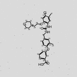 Cc1cc(NC(=O)NCc2ccc(Oc3ccnc(C(=O)O)c3)c(C)c2)c(OCCN2CCOCC2)cc1Cl